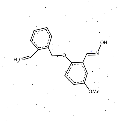 C=Cc1ccccc1COc1ccc(OC)cc1/C=N/O